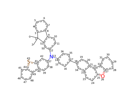 CC1(C)c2ccccc2-c2ccc(N(c3ccc(-c4ccc5c(ccc6oc7ccccc7c65)c4)cc3)c3ccc4c(c3)sc3ccccc34)cc21